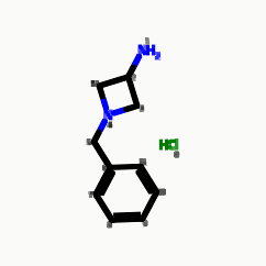 Cl.NC1CN(Cc2ccccc2)C1